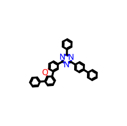 c1ccc(-c2ccc(-c3nc(-c4ccccc4)nc(-c4ccc5oc6c(-c7ccccc7)cccc6c5c4)n3)cc2)cc1